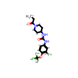 CCC(=O)N1CCC(NC(=O)Nc2ccc(OC(F)(F)F)c(F)c2)CC1